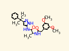 COc1cc(CC(=O)NC(C)C(=O)Nc2cc(C(C)(C)c3ccccc3)n[nH]2)cc(OC)c1